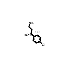 Cl.NCC[C@@H](O)c1ccc(Cl)cc1